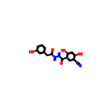 N#Cc1cc(C(=O)NNC(=O)Cc2cccc(O)c2)c(O)cc1O